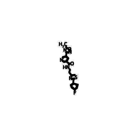 Cc1nc(-c2cncc(C(=O)NCCc3csc(-c4ccc(F)cc4)n3)c2)no1